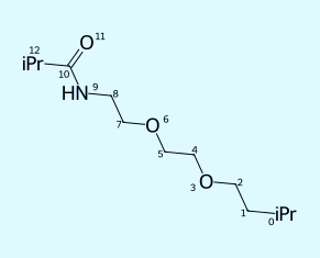 CC(C)CCOCCOCCNC(=O)C(C)C